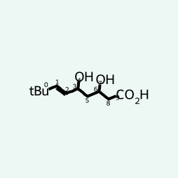 CC(C)(C)/C=C/C(O)CC(O)CC(=O)O